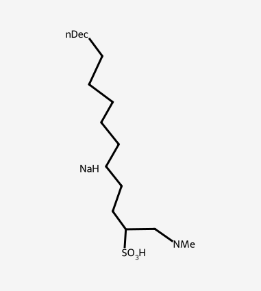 CCCCCCCCCCCCCCCCCCC(CNC)S(=O)(=O)O.[NaH]